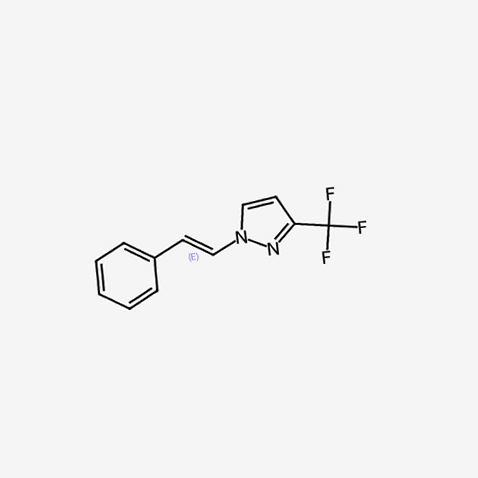 FC(F)(F)c1ccn(/C=C/c2ccccc2)n1